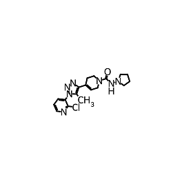 Cc1c(C2=CCN(C(=O)NN3CCCC3)CC2)nnn1-c1cccnc1Cl